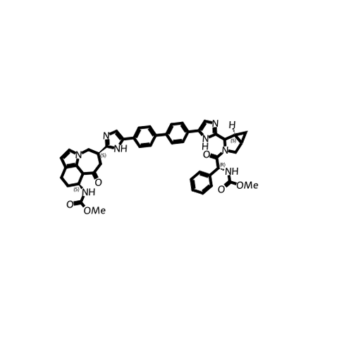 COC(=O)N[C@H]1CCc2ccn3c2C1C(=O)C[C@H](c1ncc(-c2ccc(-c4ccc(-c5cnc(C6[C@H]7CC7CN6C(=O)[C@H](NC(=O)OC)c6ccccc6)[nH]5)cc4)cc2)[nH]1)C3